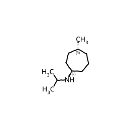 CC(C)N[C@@H]1CCC[C@@H](C)CC1